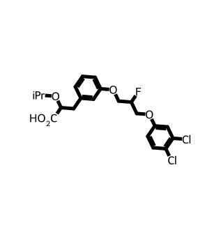 CC(C)OC(Cc1cccc(OCC(F)COc2ccc(Cl)c(Cl)c2)c1)C(=O)O